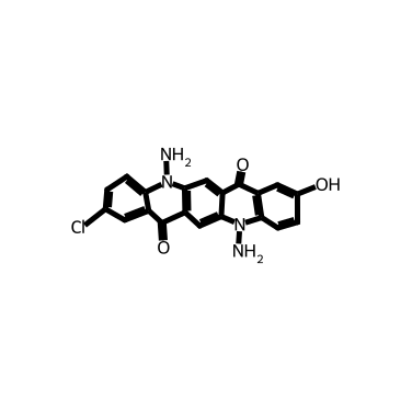 Nn1c2ccc(O)cc2c(=O)c2cc3c(cc21)c(=O)c1cc(Cl)ccc1n3N